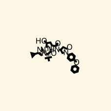 CC(C)(C)[C@@H](C(=O)N1CC(O)CC1C(=O)NC1CC(=O)N(c2ccc(Oc3ccccc3)cc2)C1)n1cc(C2CC2)nn1